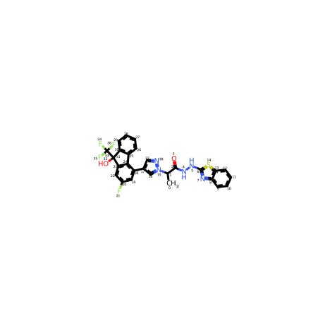 CC(C(=O)NNc1nc2ccccc2s1)n1cc(-c2cc(F)cc3c2-c2ccccc2C3(O)C(F)(F)F)cn1